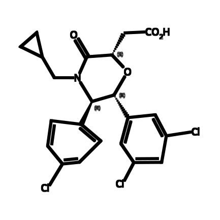 O=C(O)C[C@@H]1O[C@H](c2cc(Cl)cc(Cl)c2)[C@@H](c2ccc(Cl)cc2)N(CC2CC2)C1=O